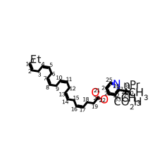 CC/C=C\C/C=C\C/C=C\C/C=C\C/C=C\C/C=C\CCC(=O)Oc1ccnc(C(C)(C)CCC)c1C(=O)O